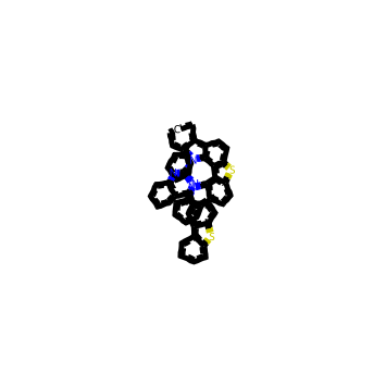 c1ccc(-n2c3ccccc3c3ccc4sc5ccc6c7ccccc7n(-c7nc(-c8ccc9sc%10ccccc%10c9c8)c8ccccc8n7)c6c5c4c32)cc1